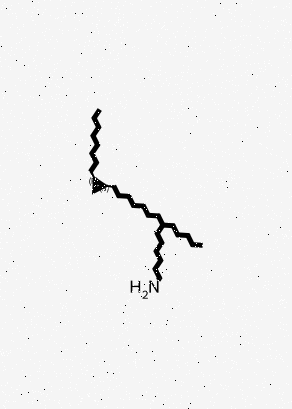 CCCCCCCC[C@@H]1C[C@@H]1CCCCCCCC(CCCCC)CCCCCCN